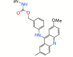 COc1ccc2nc3ccc(C)cc3c(Nc3cccc(COC(=O)NC(C)C)c3)c2c1